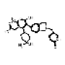 Cc1nc(C)c(-c2ccc3c(c2)CCN(Cc2ccc(=O)[nH]c2)C3)c(N2CCC(C)(C)CC2)c1CC(=O)O